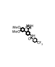 COc1ccc(-c2ccc(NC(=O)N3CCC(C(F)(F)F)CC3)cc2-c2nn[nH]n2)cc1OC